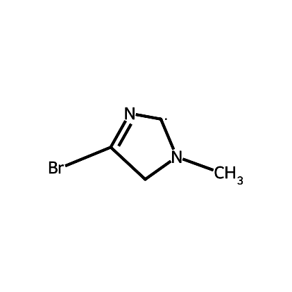 CN1[CH]N=C(Br)C1